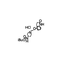 CC(C)COC(=O)NC1CCN(CCOc2cccc3c2CCC(=O)N3)CC1.Cl